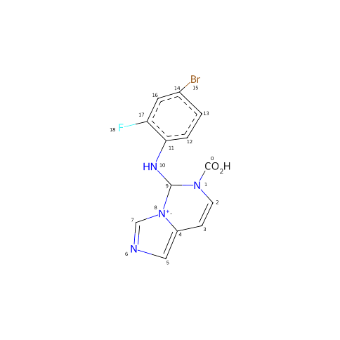 O=C(O)N1C=CC2=CN=C[N+]2C1Nc1ccc(Br)cc1F